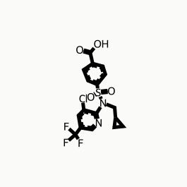 O=C(O)c1ccc(S(=O)(=O)N(CC2CC2)c2ncc(C(F)(F)F)cc2Cl)cc1